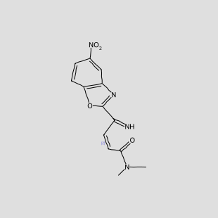 CN(C)C(=O)/C=C\C(=N)c1nc2cc([N+](=O)[O-])ccc2o1